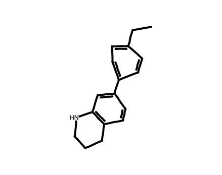 CCc1ccc(-c2ccc3c(c2)NCCC3)cc1